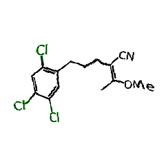 COC(C)=C(C#N)CCCc1cc(Cl)c(Cl)cc1Cl